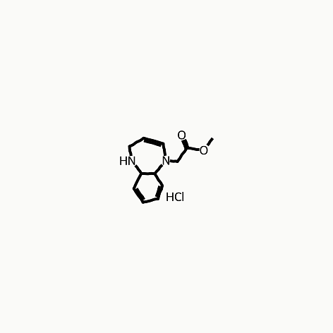 COC(=O)CN1C=CCNC2C=CC=CC21.Cl